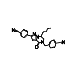 CCCCC1CN(Cc2ccc(C#N)cc2)C(=O)c2cc(-c3ccc(C#N)cc3)nn21